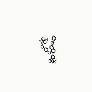 CN(CCOc1ccc(Oc2c(-c3ccc(S(C)(=O)=O)cc3)ccc3cc(OCc4ccccc4)ccc23)cc1)C(=O)O